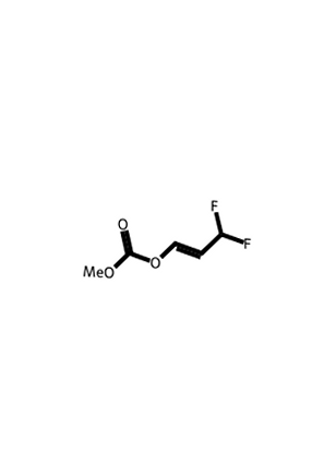 COC(=O)O/C=C/C(F)F